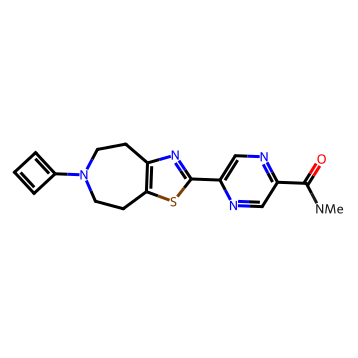 CNC(=O)c1cnc(-c2nc3c(s2)CCN(C2=CC=C2)CC3)cn1